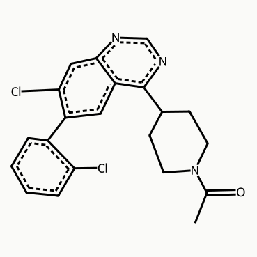 CC(=O)N1CCC(c2ncnc3cc(Cl)c(-c4ccccc4Cl)cc23)CC1